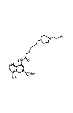 COc1cc(NC(=O)CCCCCN2CCN(CCO)CC2)c2nccc(C)c2c1